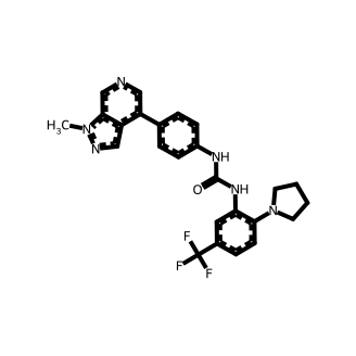 Cn1ncc2c(-c3ccc(NC(=O)Nc4cc(C(F)(F)F)ccc4N4CCCC4)cc3)cncc21